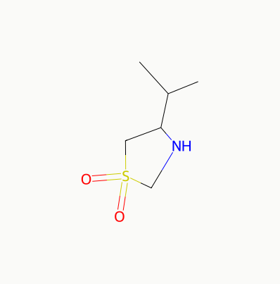 CC(C)C1CS(=O)(=O)CN1